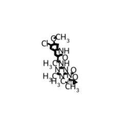 COc1cc2[nH]c(=O)c([C@H](C)Nc3nc(C)nc(N4C(=O)OC5(CC5)[C@@H]4C(C)C)n3)cc2cc1Cl